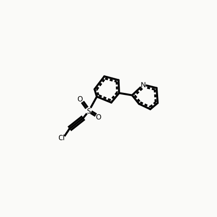 O=S(=O)(C#CCl)c1cccc(-c2ccccn2)c1